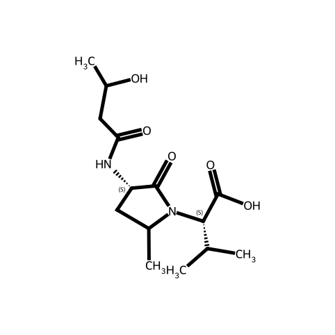 CC(O)CC(=O)N[C@H]1CC(C)N([C@H](C(=O)O)C(C)C)C1=O